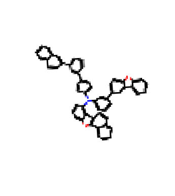 c1cc(-c2ccc(N(c3cccc(-c4ccc5oc6ccccc6c5c4)c3)c3cccc4oc5c6ccccc6ccc5c34)cc2)cc(-c2ccc3ccccc3c2)c1